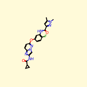 Cc1cc(C(=O)Nc2cc(Oc3ccc4nc(NC(=O)C5CC5)cn4n3)ccc2F)nn1C